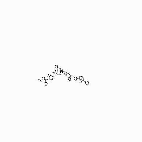 CCOC(=O)c1csc(CN2CCN(COCC(=O)COc3ccc(Cl)s3)CC2=O)n1